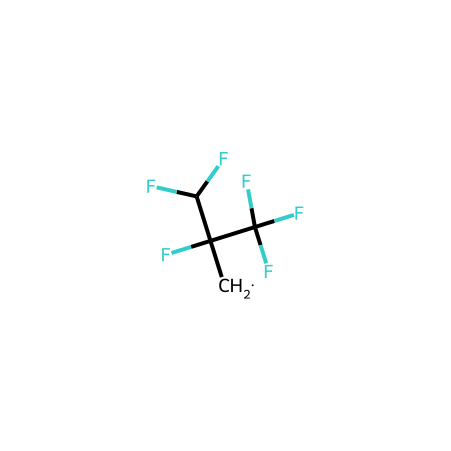 [CH2]C(F)(C(F)F)C(F)(F)F